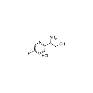 Cl.NC(CO)c1ccc(F)cn1